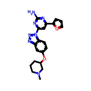 CN1CCCC(Oc2ccc3c(c2)nnn3-c2cc(-c3ccco3)nc(N)n2)C1